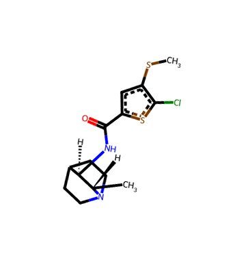 CSc1cc(C(=O)N[C@@H]2C3CCN(CC3)[C@H]2C)sc1Cl